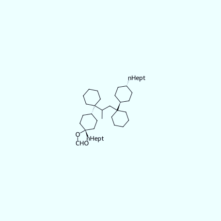 CCCCCCC[C@H]1CC[C@H](C2(CC(C)C3([C@H]4CC[C@@](CCCCCCC)(OC=O)CC4)CCCCC3)CCCCC2)CC1